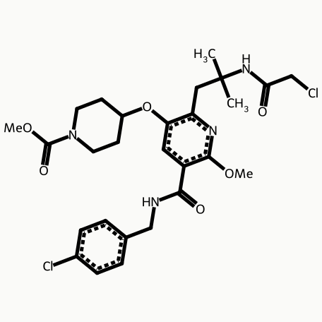 COC(=O)N1CCC(Oc2cc(C(=O)NCc3ccc(Cl)cc3)c(OC)nc2CC(C)(C)NC(=O)CCl)CC1